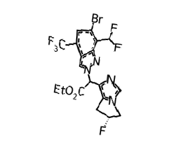 CCOC(=O)C(c1ncn2c1C[C@@H](F)C2)n1cc2c(C(F)(F)F)cc(Br)c(C(F)F)c2n1